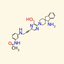 CC(=O)Nc1cccc(NCC#Cc2cnc(N3CCC4(CC3)Cc3ccccc3C4N)c(CO)n2)c1